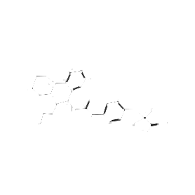 CCCCC(NC(=O)Cc1ccc(OC(C)(C)C(=O)O)cc1)c1cccc(F)c1N1CCCCC1